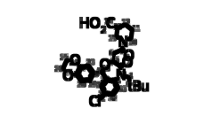 CC(C)(C)CN1C(=O)[C@H](CC(=O)N2CCCC(C(=O)O)C2)O[C@@H](c2ccc3c(c2)OCCO3)c2cc(Cl)ccc21